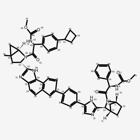 COC(=O)N[C@@H](C(=O)N1[C@@H]2CC[C@@H](C2)[C@H]1c1ncc(-c2ccc(-c3ccc4c(ccc5nc([C@@H]6CC7(C)C[C@H]7N6C(=O)[C@H](NC(=O)OC)c6ccc(C7CCC7)cc6)[nH]c54)c3)cc2)[nH]1)c1ccccc1